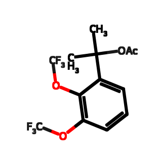 CC(=O)OC(C)(C)c1cccc(OC(F)(F)F)c1OC(F)(F)F